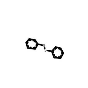 [c]1ccc[c]c1SSc1[c]ccc[c]1